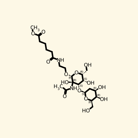 COC(=O)CCCCC(=O)NCCO[C@@H]1O[C@H](CO)[C@H](O)[C@H](O[C@H]2C[C@@H](O)[C@@H](O)[C@@H](CO)O2)[C@]1(O)NC(C)=O